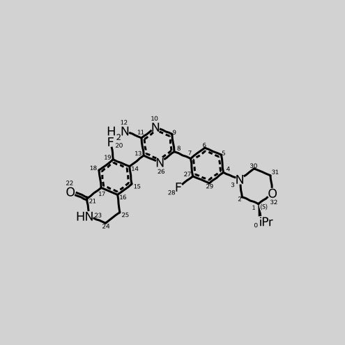 CC(C)[C@H]1CN(c2ccc(-c3cnc(N)c(-c4cc5c(cc4F)C(=O)NCC5)n3)c(F)c2)CCO1